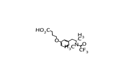 C[C@@H](Cc1cccc(OCCCC(=O)O)c1)N(C)C(=O)C(F)(F)F